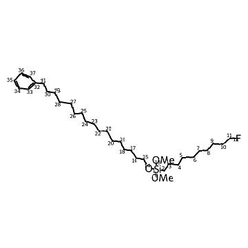 CO[Si](CCCCCCCCCCF)(OC)OCCCCCCCCCCCCCCCCCc1ccccc1